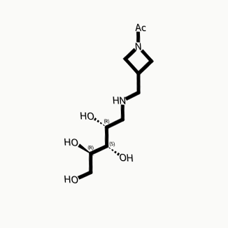 CC(=O)N1CC(CNC[C@@H](O)[C@H](O)[C@H](O)CO)C1